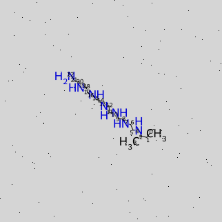 CCC(C)NCCNCCNCCNCCNCCNCCN